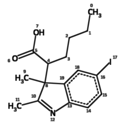 CCCCC(C(=O)O)C1(C)C(C)=Nc2ccc(I)cc21